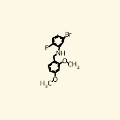 COc1ccc(CNc2cc(Br)[c]cc2F)c(OC)c1